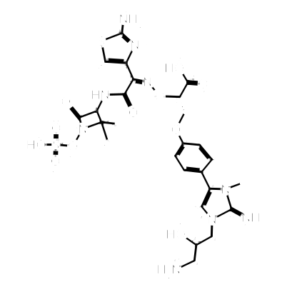 Cn1c(-c2ccc(OC[C@H](ON=C(C(=O)NC3C(=O)N(OS(=O)(=O)O)C3(C)C)c3csc(N)n3)C(=O)O)cc2)cn(CC(O)CN)c1=N